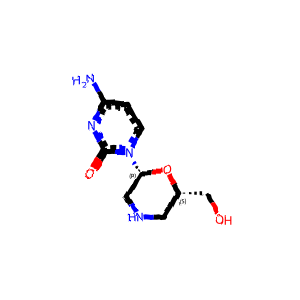 Nc1ccn([C@H]2CNC[C@@H](CO)O2)c(=O)n1